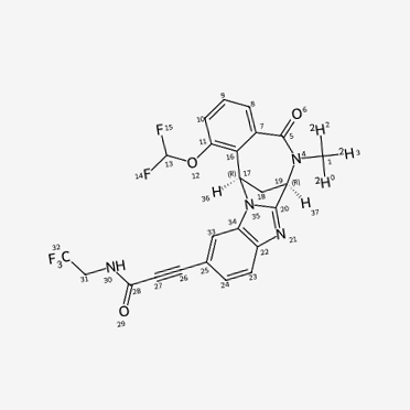 [2H]C([2H])([2H])N1C(=O)c2cccc(OC(F)F)c2[C@H]2C[C@@H]1c1nc3ccc(C#CC(=O)NCC(F)(F)F)cc3n12